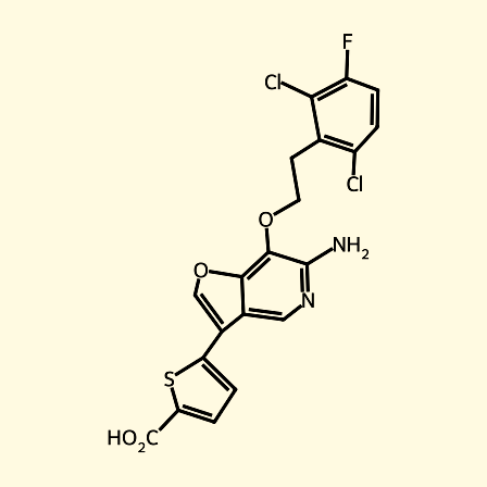 Nc1ncc2c(-c3ccc(C(=O)O)s3)coc2c1OCCc1c(Cl)ccc(F)c1Cl